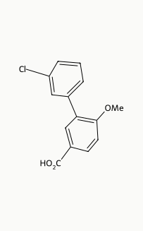 COc1ccc(C(=O)O)cc1-c1cccc(Cl)c1